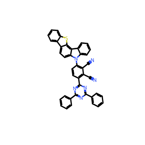 N#Cc1c(-c2nc(-c3ccccc3)nc(-c3ccccc3)n2)ccc(-n2c3ccccc3c3c4sc5ccccc5c4ccc32)c1C#N